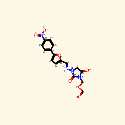 O=COCN1C(=O)CN(/N=C/c2ccc(-c3ccc([N+](=O)[O-])cc3)o2)C1=O